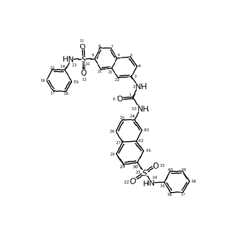 O=C(Nc1ccc2ccc(S(=O)(=O)Nc3ccccc3)cc2c1)Nc1ccc2ccc(S(=O)(=O)Nc3ccccc3)cc2c1